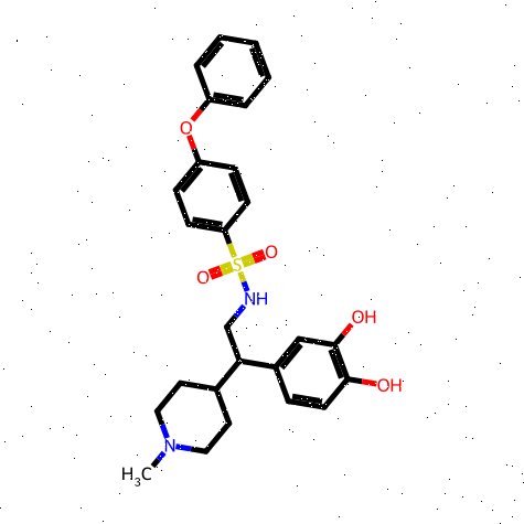 CN1CCC(C(CNS(=O)(=O)c2ccc(Oc3ccccc3)cc2)c2ccc(O)c(O)c2)CC1